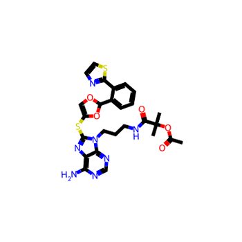 CC(=O)OC(C)(C)C(=O)NCCCn1c(SC2=COC(c3ccccc3-c3nccs3)O2)nc2c(N)ncnc21